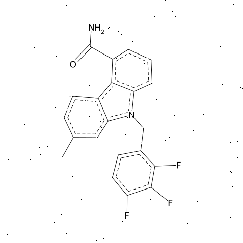 Cc1c[c]c2c3c(C(N)=O)cccc3n(Cc3ccc(F)c(F)c3F)c2c1